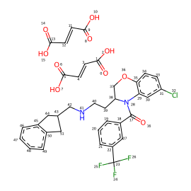 O=C(O)C=CC(=O)O.O=C(O)C=CC(=O)O.O=C(c1cccc(C(F)(F)F)c1)N1c2cc(Cl)ccc2OCC1CCNCC1Cc2ccccc2C1